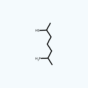 CC(P)CCCC(C)S